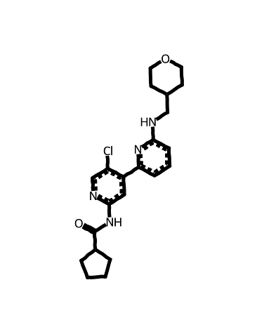 O=C(Nc1cc(-c2cccc(NCC3CCOCC3)n2)c(Cl)cn1)C1CCCC1